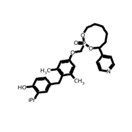 Cc1cc(OCP2(=O)OCCCCCC(c3ccncc3)O2)cc(C)c1Cc1ccc(O)c(C(C)C)c1